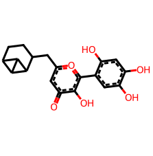 O=c1cc(CC2CCC3C4C2C34)oc(-c2cc(O)c(O)cc2O)c1O